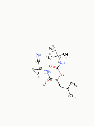 CC(C)C[C@H](OC(=O)NC(C)(C)C)C(=O)NC1(C#N)CC1